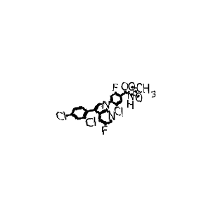 CS(=O)(=O)NC(=O)c1cc(Cl)c(-n2cc(-c3ccc(Cl)cc3Cl)c3cc(F)cnc32)cc1F